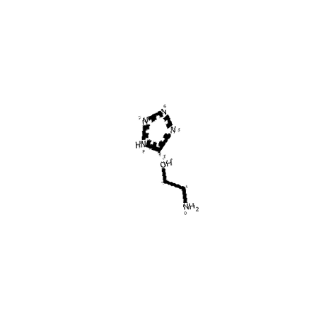 NCCO.c1nnn[nH]1